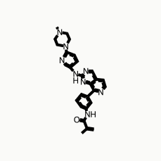 C=C(C)C(=O)Nc1cccc(-c2nccc3cnc(Nc4ccc(N5CCN(C)CC5)nc4)nc23)c1